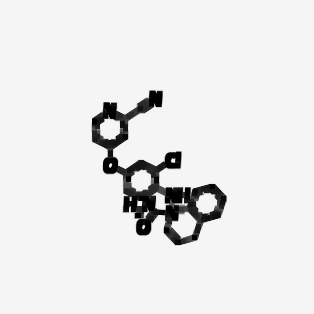 N#Cc1cc(Oc2ccc(N[N+]3(C(N)=O)C=CCc4ccccc43)c(Cl)c2)ccn1